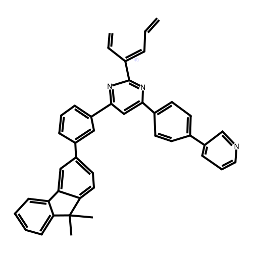 C=C/C=C(\C=C)c1nc(-c2ccc(-c3cccnc3)cc2)cc(-c2cccc(-c3ccc4c(c3)-c3ccccc3C4(C)C)c2)n1